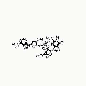 Nc1nc2c(ncn2[C@@H]2O[C@@H]3C(O)C3[C@H]2OP(=O)(O)OC[C@H]2O[C@@H](n3cnc4c(N)ncnc43)C[C@@H]2O)c(=O)[nH]1